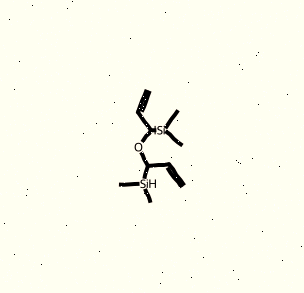 C=CC(OC(C=C)[SiH](C)C)[SiH](C)C